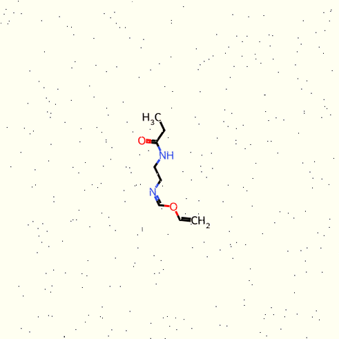 C=CO/C=N\CCNC(=O)CC